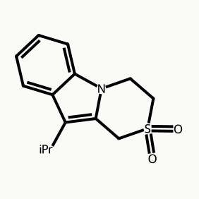 CC(C)c1c2n(c3ccccc13)CCS(=O)(=O)C2